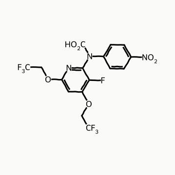 O=C(O)N(c1ccc([N+](=O)[O-])cc1)c1nc(OCC(F)(F)F)cc(OCC(F)(F)F)c1F